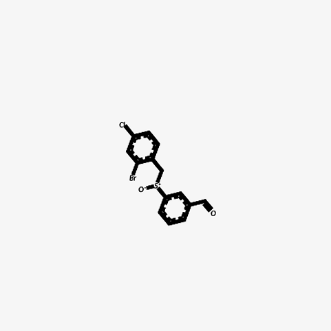 O=Cc1cccc([S+]([O-])Cc2ccc(Cl)cc2Br)c1